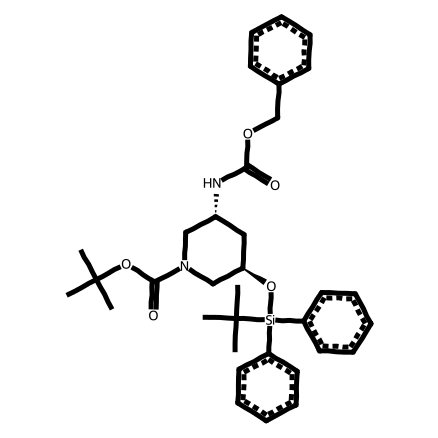 CC(C)(C)OC(=O)N1C[C@H](NC(=O)OCc2ccccc2)C[C@@H](O[Si](c2ccccc2)(c2ccccc2)C(C)(C)C)C1